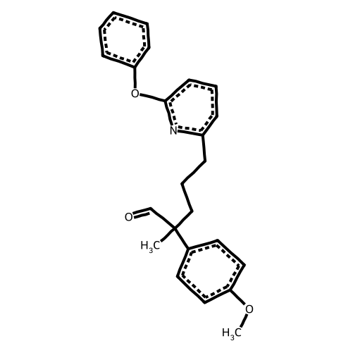 COc1ccc(C(C)(C=O)CCCc2cccc(Oc3ccccc3)n2)cc1